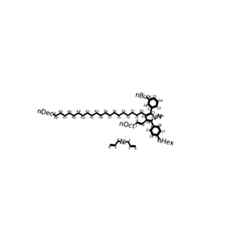 C=C[CH2][Ni][CH2]C=C.CCCCCCCCC=CC1=C(c2ccc(CCCCCC)cc2)[N+](=[N-])C(c2cccc(CCCC)c2)=C1CCCCCCCCCCCCCCCCCCCCCCCCCCCCCC